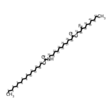 CCCCCCCCCCCCCCCCOC(=O)NCCCCCCCCCCC(=O)OCCC(F)CCCCCCC